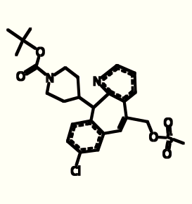 CC(C)(C)OC(=O)N1CCC(C2c3ccc(Cl)cc3C=C(COS(C)(=O)=O)c3cccnc32)CC1